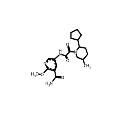 COc1ncc(NC(=O)C(=O)N2CC(C)CCC2C2CCCC2)cc1C(N)=O